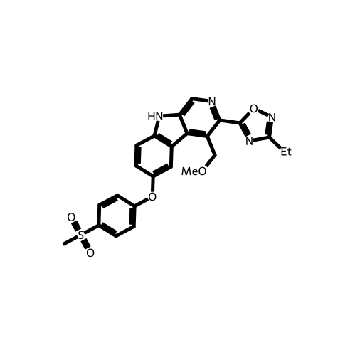 CCc1noc(-c2ncc3[nH]c4ccc(Oc5ccc(S(C)(=O)=O)cc5)cc4c3c2COC)n1